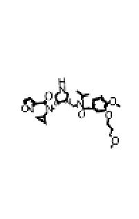 COCCCOc1cc(C(=O)N(C[C@@H]2CNC[C@H]2CN(C(=O)c2ccon2)C2CC2)C(C)C)ccc1OC